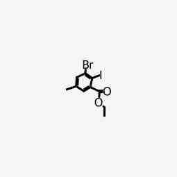 CCOC(=O)c1cc(C)cc(Br)c1I